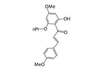 CCCOc1cc(OC)cc(O)c1C(=O)C=Cc1ccc(OC)cc1